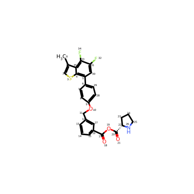 Cc1csc2c(-c3ccc(OCc4cccc(C(=O)OC(=O)[C@@H]5CCCN5)c4)cc3)cc(F)c(F)c12